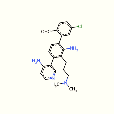 CN(C)CCCc1c(-c2cnccc2N)ccc(-c2cc(Cl)ccc2C=O)c1N